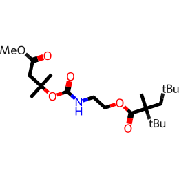 COC(=O)CC(C)(C)OC(=O)NCCOC(=O)C(C)(CC(C)(C)C)C(C)(C)C